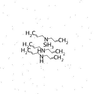 C=CCN([SiH3])CC=C.C=CCNCC=C.C=CCNCC=C